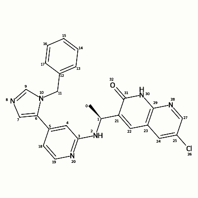 C[C@H](Nc1cc(-c2cncn2Cc2ccccc2)ccn1)c1cc2cc(Cl)cnc2[nH]c1=O